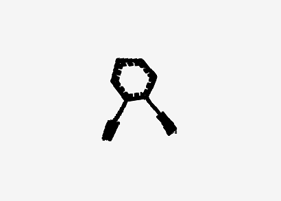 [C]#Cc1ccccc1C#[C]